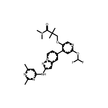 Cc1cc(Nc2cc3cc(-c4cc(OC(F)F)ncc4OCC(C)(C)C(=O)N(C)C)ccn3n2)nc(C)n1